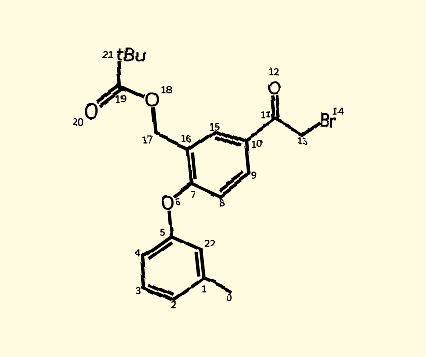 Cc1cccc(Oc2ccc(C(=O)CBr)cc2COC(=O)C(C)(C)C)c1